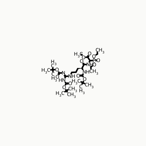 CCOP(=O)(OCC)C(NC(=O)[C@H](CCCNC(=NC(=O)OC(C)(C)C)NC(=O)OC(C)(C)C)NC(=O)OC(C)(C)C)C(=O)OC